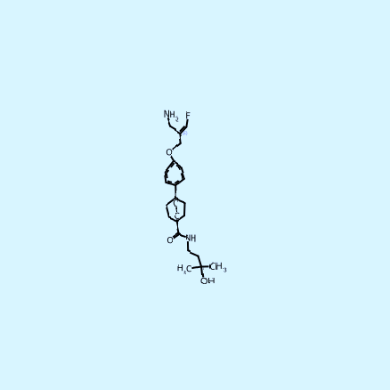 CC(C)(O)CCNC(=O)C12CCC(c3ccc(OC/C(=C/F)CN)cc3)(CC1)CC2